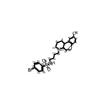 N#Cc1ccc2c(c1)C1CCCN(CCCCNS(=O)(=O)c3ccc(Br)cc3)C1CO2